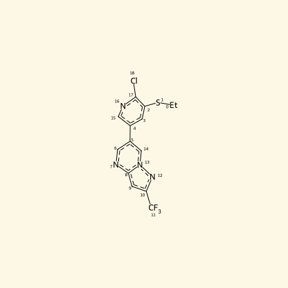 CCSc1cc(-c2cnc3cc(C(F)(F)F)nn3c2)cnc1Cl